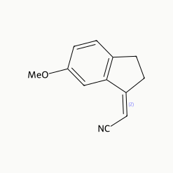 COc1ccc2c(c1)/C(=C\C#N)CC2